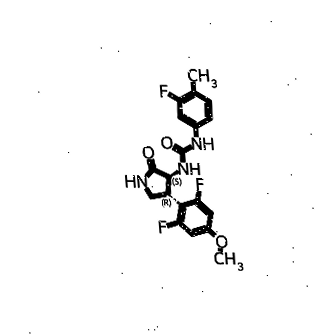 COc1cc(F)c([C@@H]2CNC(=O)[C@H]2NC(=O)Nc2ccc(C)c(F)c2)c(F)c1